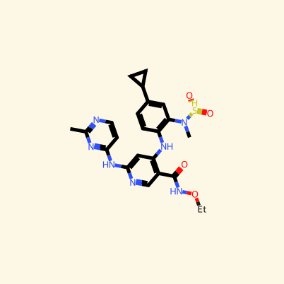 CCONC(=O)c1cnc(Nc2ccnc(C)n2)cc1Nc1ccc(C2CC2)cc1N(C)[SH](=O)=O